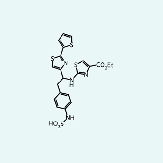 CCOC(=O)c1csc(NC(Cc2ccc(NS(=O)(=O)O)cc2)c2csc(-c3cccs3)n2)n1